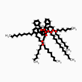 CCCCCCCCCCCCCCc1c(CCCCCCCCCC)ccc(C(OC(c2ccccc2)(c2ccccc2)c2ccc(CCCCCCCCCC)c(CCCCCCCCCCCCCC)c2CCCCCCCCCCCCCC)(c2ccccc2)c2ccccc2)c1CCCCCCCCCCCCCC